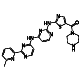 Cc1cccc(-c2nccc(Nc3ccnc(Nc4ncc(C(=O)N5CCNCC5)s4)n3)n2)n1